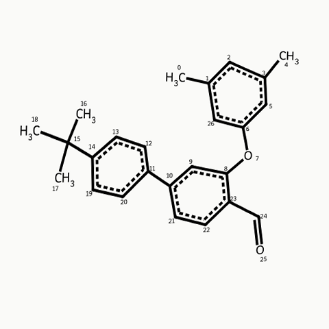 Cc1cc(C)cc(Oc2cc(-c3ccc(C(C)(C)C)cc3)ccc2C=O)c1